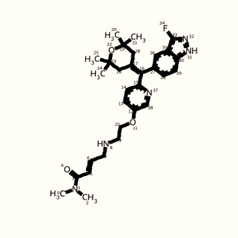 CN(C)C(=O)/C=C/CNCCOc1ccc(C(=C2CC(C)(C)OC(C)(C)C2)c2ccc3[nH]nc(F)c3c2)nc1